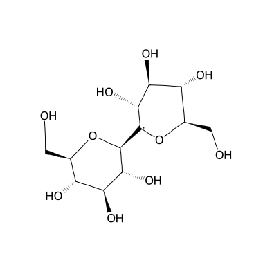 OC[C@H]1O[C@@H]([C]2O[C@H](CO)[C@@H](O)[C@H](O)[C@H]2O)[C@H](O)[C@@H](O)[C@@H]1O